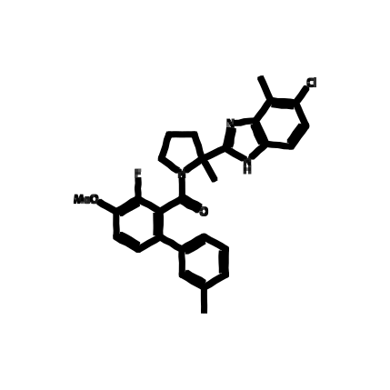 COc1ccc(-c2cccc(C)c2)c(C(=O)N2CCCC2(C)c2nc3c(C)c(Cl)ccc3[nH]2)c1F